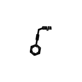 CCOC(=O)CC#Cc1ccccc1